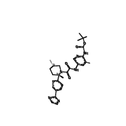 Cc1cc(NC(=O)C(=O)N2C[C@@H](C)CC[C@@]2(C)c2ccc(-c3nccs3)cc2)cnc1NC(=O)OC(C)(C)C